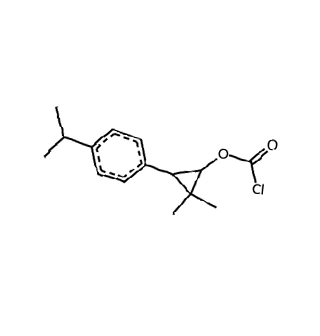 CC(C)c1ccc(C2C(OC(=O)Cl)C2(C)C)cc1